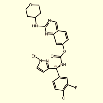 CCn1ccc([C@@H](NC(=O)Oc2ccc3cnc(NC4CCOCC4)nc3c2)c2ccc(Cl)c(F)c2)n1